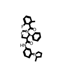 Cc1cccc(F)c1C(=O)N1CCCC(C(=O)Nc2cccc(N3CCCC3C)c2)[C@@H]1c1ccccc1